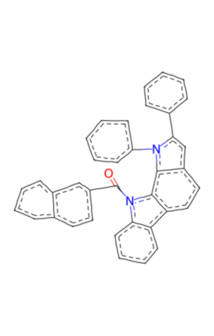 O=C(c1ccc2ccccc2c1)n1c2ccccc2c2ccc3cc(-c4ccccc4)n(-c4ccccc4)c3c21